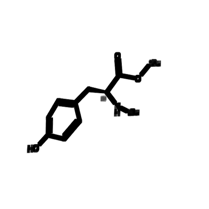 CC(C)(C)N[C@@H](Cc1ccc(O)cc1)C(=O)OC(C)(C)C